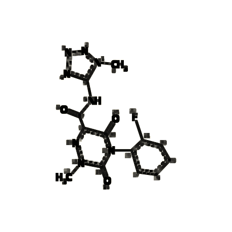 Cn1nnnc1NC(=O)c1nn(C)c(=O)n(-c2ccccc2F)c1=O